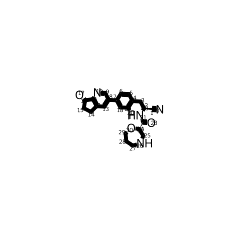 N#C[C@H](Cc1ccc(-c2cnc3c(c2)CCC3=O)cc1F)NC(=O)[C@@H]1CNCCCO1